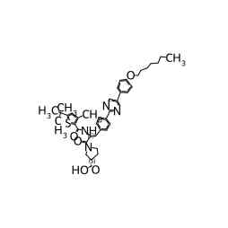 CCCCCCCOc1ccc(-c2cnc(-c3ccc(C[C@H](NC(=O)c4sc(C(C)(C)C)cc4C)C(=O)N4CC[C@H](C(=O)O)C4)cc3)nc2)cc1